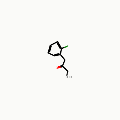 O=CCC(=O)Cc1ccccc1F